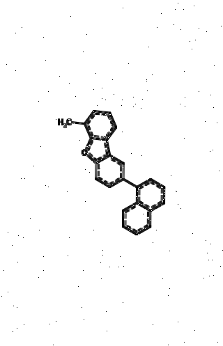 Cc1cccc2c1oc1ccc(-c3cccc4ccccc34)cc12